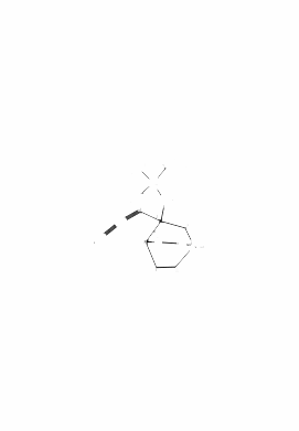 C[Si](C)(C)OC1(C=C=S)CN2CCC1CC2